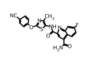 Cc1nc(Oc2ccc(C#N)cc2)sc1NC(=O)c1cc(C(N)=O)c2ccc(F)cc2n1